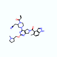 C=CC(=O)N1CCN(c2nc(OCC3CCCN3C)nc3c2CN(C(=O)c2c(C)ccc4[nH]ncc24)C3)CC1CC#N